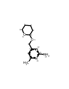 Cc1cc(COC2CCCCO2)nc(N)n1